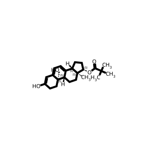 CC(C)(C)C(=O)O[C@H]1CC[C@H]2C3=CC=C4C=C(O)CC[C@]4(CO)[C@H]3CC[C@]12C